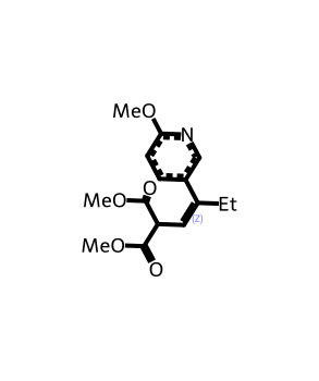 CC/C(=C/C(C(=O)OC)C(=O)OC)c1ccc(OC)nc1